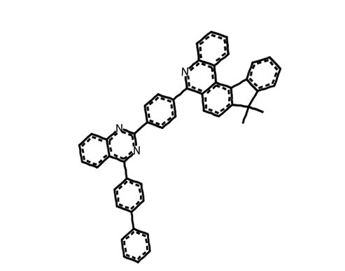 CC1(C)c2ccccc2-c2c1ccc1c(-c3ccc(-c4nc(-c5ccc(-c6ccccc6)cc5)c5ccccc5n4)cc3)nc3ccccc3c21